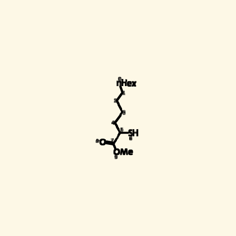 CCCCCCCCCCC(S)C(=O)OC